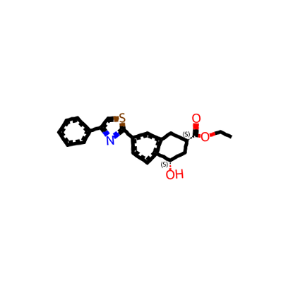 CCOC(=O)[C@H]1Cc2cc(-c3nc(-c4ccccc4)cs3)ccc2[C@@H](O)C1